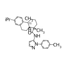 Cc1ccc(-n2nccc2NC(=O)[C@@]2(C)CCC[C@]3(C)c4ccc(C(C)C)cc4CC[C@@H]23)cc1